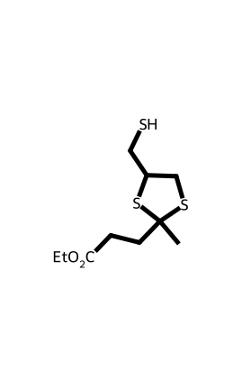 CCOC(=O)CCC1(C)SCC(CS)S1